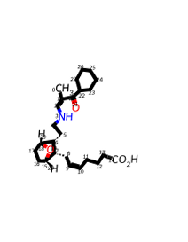 CC(=CNCC[C@@H]1[C@H](C/C=C\CCCC(=O)O)[C@@H]2CC[C@H]1O2)C(=O)C1CCCCC1